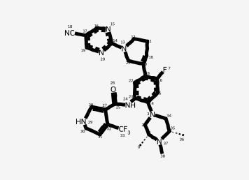 C[C@@H]1CN(c2cc(F)c(C3=CCCN(c4ncc(C#N)cn4)C3)cc2NC(=O)C2=CNCC=C2C(F)(F)F)C[C@H](C)N1C